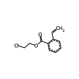 C=Cc1ccccc1C(=O)OCCCl